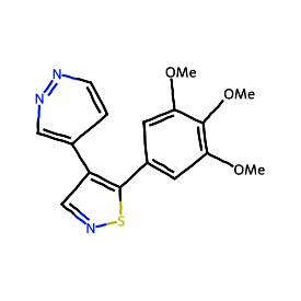 COc1cc(-c2sncc2-c2ccnnc2)cc(OC)c1OC